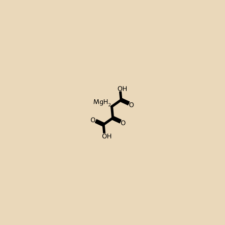 O=C(O)CC(=O)C(=O)O.[MgH2]